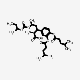 CCC(C)OC(=O)OC(C)CC(c1ccc(OC(=O)CCC(C)C)c(OC(=O)CCC(C)C)c1)[C@H](N)C(=O)O